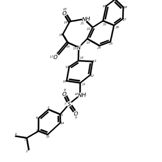 CC(C)c1ccc(S(=O)(=O)Nc2ccc(N3C(=O)CC(=O)Nc4c3ccc3ccccc43)cc2)cc1